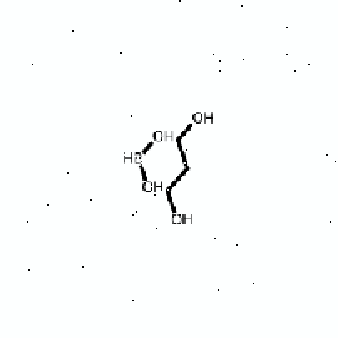 OBO.OCCCO